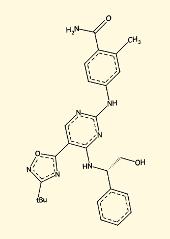 Cc1cc(Nc2ncc(-c3nc(C(C)(C)C)no3)c(N[C@H](CO)c3ccccc3)n2)ccc1C(N)=O